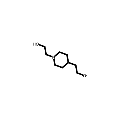 [O]CCC1CCN(CCO)CC1